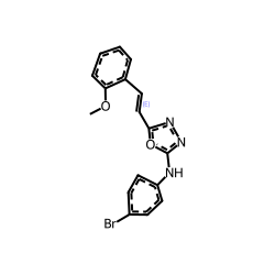 COc1ccccc1/C=C/c1nnc(Nc2ccc(Br)cc2)o1